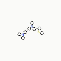 c1ccc(-n2c3ccc(-c4ccc(-n5c6ccccc6c6ccccc65)cc4)cc3c3ccc(-c4cccc5c4sc4ccccc45)cc32)cc1